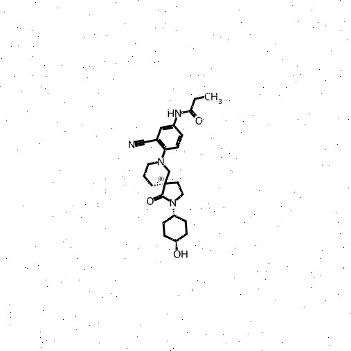 CCC(=O)Nc1ccc(N2CCC[C@@]3(CCN([C@H]4CC[C@H](O)CC4)C3=O)C2)c(C#N)c1